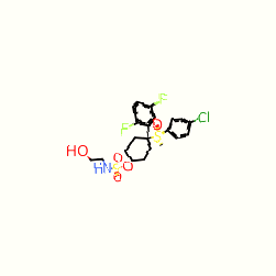 C=S(=O)(c1ccc(Cl)cc1)[C@]1(c2cc(F)ccc2F)CC[C@H](OS(=O)(=O)NCCO)CC1